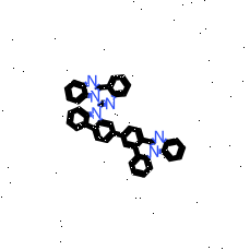 c1ccc2c(c1)nc(-n1c3ccccc3c3ccc(-c4ccc5c(c4)c4ccccc4n4c6ccccc6nc54)cc31)n1c3ccccc3nc21